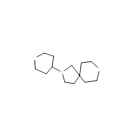 C1CC2(CCN1)CCN(C1CCOCC1)C2